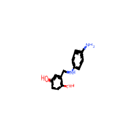 Nc1ccc(NCc2cc(O)ccc2O)cc1